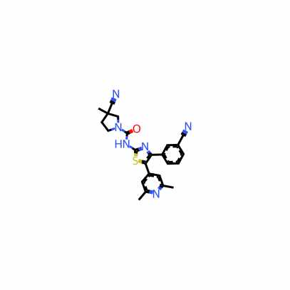 Cc1cc(-c2sc(NC(=O)N3CCC(C)(C#N)C3)nc2-c2cccc(C#N)c2)cc(C)n1